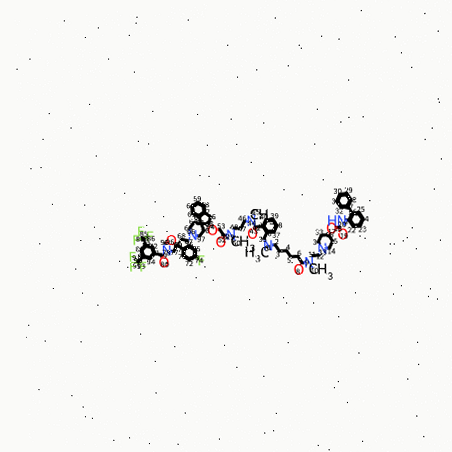 CN(CCCCCC(=O)N(C)CCN1CCC(OC(=O)Nc2ccccc2-c2ccccc2)CC1)Cc1ccccc1C(=O)N(C)CCCN(C)C(=O)CO[C@H]1Cc2ccccc2C12CCN(CC[C@@]1(c3ccc(F)cc3)CN(C(=O)c3cc(C(F)(F)F)cc(C(F)(F)F)c3)CO1)CC2